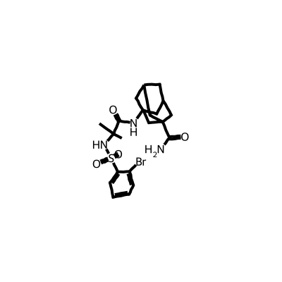 CC(C)(NS(=O)(=O)c1ccccc1Br)C(=O)NC12CC3CC(C1)CC(C(N)=O)(C3)C2